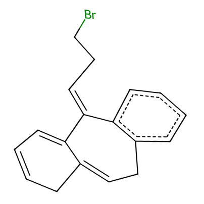 BrCCC=C1C2=CC=CCC2=CCc2ccccc21